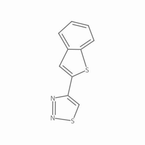 c1ccc2sc(-c3csnn3)cc2c1